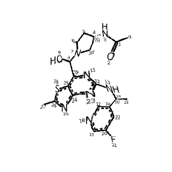 CC(=O)N[C@H]1CCN(C(O)c2nc(N[C@@H](C)c3cncc(F)c3)nc3nc(C)sc23)C1